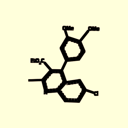 CCOC(=O)c1c(C)nc2ccc(Cl)cc2c1-c1ccc(OC)c(OC)c1